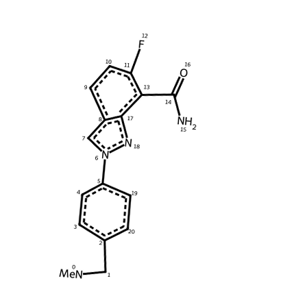 CNCc1ccc(-n2cc3ccc(F)c(C(N)=O)c3n2)cc1